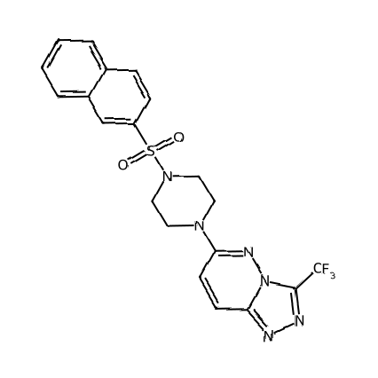 O=S(=O)(c1ccc2ccccc2c1)N1CCN(c2ccc3nnc(C(F)(F)F)n3n2)CC1